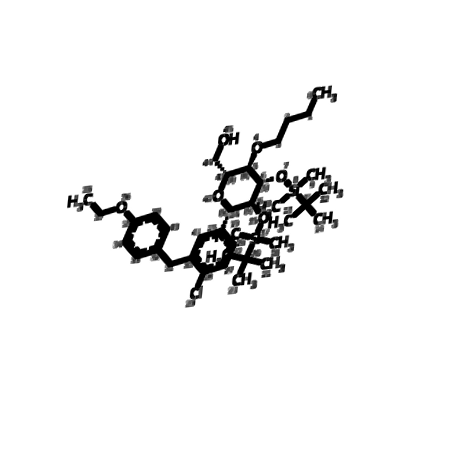 CCCCO[C@H]1[C@H](O[Si](C)(C)C(C)(C)C)[C@@H](O[Si](C)(C)C(C)(C)C)[C@H](c2ccc(Cl)c(Cc3ccc(OCC)cc3)c2)O[C@@H]1CO